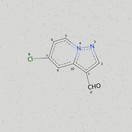 O=Cc1cnn2ccc(Cl)cc12